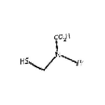 CC(C)N(CS)C(=O)O